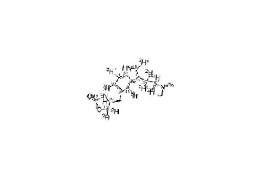 [2H]c1[nH]c2c([2H])c([2H])c(C[C@@H]3NC(=O)OC3([2H])[2H])c([2H])c2c1C([2H])([2H])C([2H])([2H])N(C)C